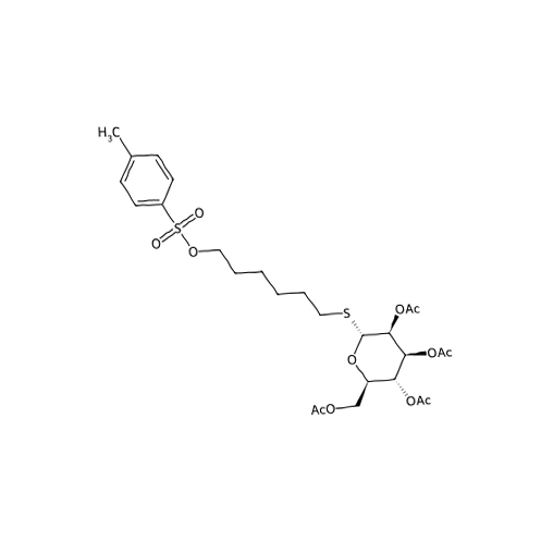 CC(=O)OC[C@H]1O[C@H](SCCCCCCOS(=O)(=O)c2ccc(C)cc2)[C@@H](OC(C)=O)[C@@H](OC(C)=O)[C@@H]1OC(C)=O